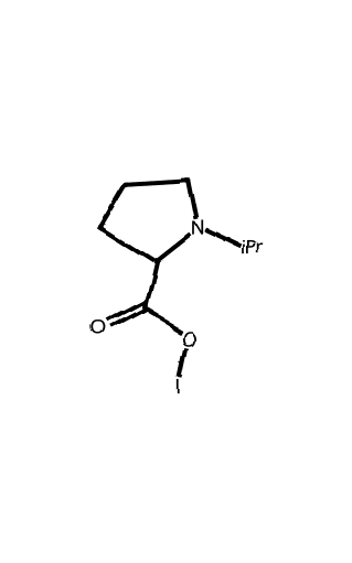 CC(C)N1CCCC1C(=O)OI